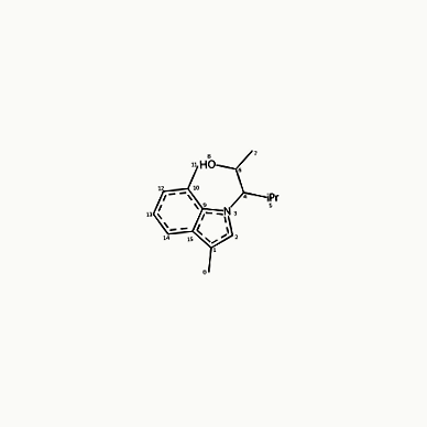 Cc1cn(C(C(C)C)C(C)O)c2c(C)cccc12